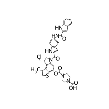 Cc1csc2c(OC(=O)N3CCN(C(=O)O)CC3)cc3c(c12)[C@H](CCl)CN3C(=O)c1cc2cc(NC(=O)c3cc4ccccc4[nH]3)ccc2[nH]1